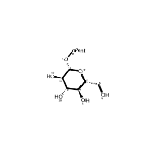 [CH2]CCCCO[C@@H]1O[C@H](CO)[C@@H](O)[C@H](O)[C@H]1O